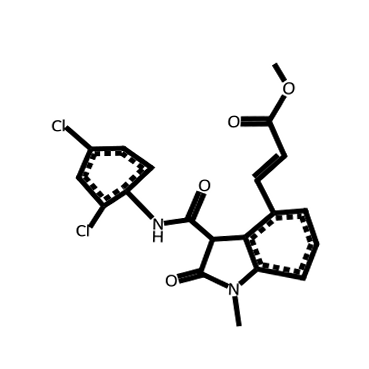 COC(=O)C=Cc1cccc2c1C(C(=O)Nc1ccc(Cl)cc1Cl)C(=O)N2C